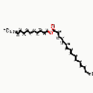 CCCCCCCCCCCCCCCCCCCCCCCCC(=O)OCCCCCCCCCCCCCCCCCCCC